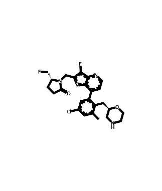 Cc1cc(Cl)cc(-c2ccnc3c(F)c(CN4C(=O)CC[C@@H]4CF)sc23)c1C[C@@H]1CNCCO1